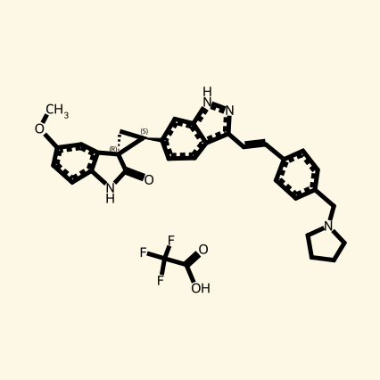 COc1ccc2c(c1)[C@]1(C[C@H]1c1ccc3c(C=Cc4ccc(CN5CCCC5)cc4)n[nH]c3c1)C(=O)N2.O=C(O)C(F)(F)F